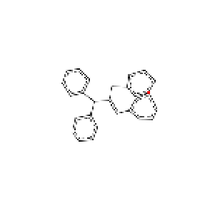 C(=C(Cc1ccccc1)C(c1ccccc1)c1ccccc1)c1ccccc1